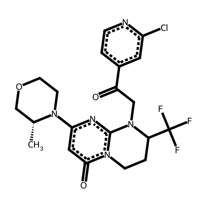 C[C@@H]1COCCN1c1cc(=O)n2c(n1)N(CC(=O)c1ccnc(Cl)c1)C(C(F)(F)F)CC2